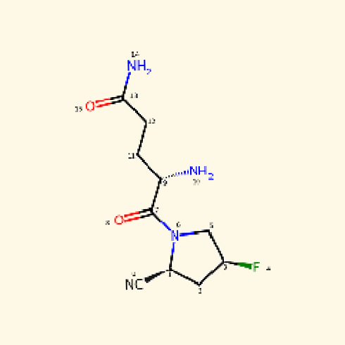 N#C[C@@H]1C[C@H](F)CN1C(=O)[C@@H](N)CCC(N)=O